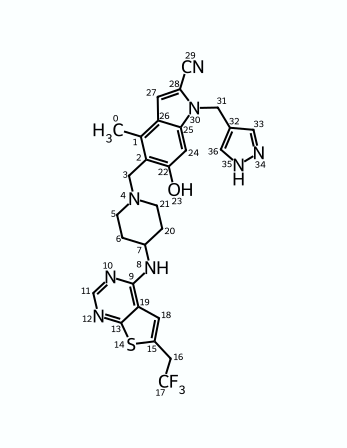 Cc1c(CN2CCC(Nc3ncnc4sc(CC(F)(F)F)cc34)CC2)c(O)cc2c1cc(C#N)n2Cc1cn[nH]c1